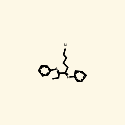 CCCCCC(=N\c1ccccc1)/C(CC)=N/c1ccccc1.[Ni]